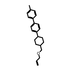 C=CCOCC1CCC(c2ccc(-c3ccc(C)cc3)cc2)CC1